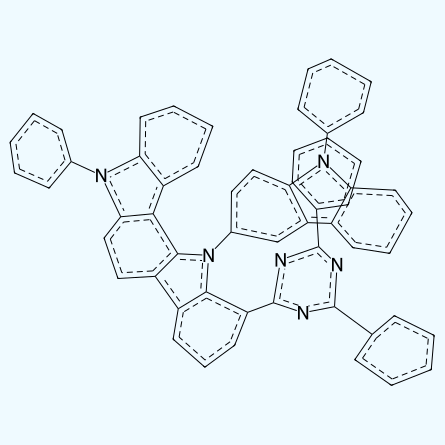 c1ccc(-c2nc(-c3ccccc3)nc(-c3cccc4c5ccc6c(c7ccccc7n6-c6ccccc6)c5n(-c5ccc6c(c5)c5ccccc5n6-c5ccccc5)c34)n2)cc1